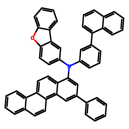 c1ccc(-c2cc(N(c3cccc(-c4cccc5ccccc45)c3)c3ccc4oc5ccccc5c4c3)c3ccc4c5ccccc5ccc4c3c2)cc1